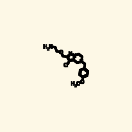 COc1ccc(CN2CCn3nc(COCCN)c(Cl)c3C2)cc1